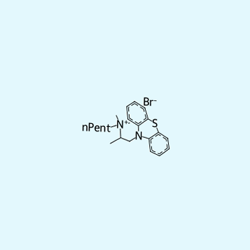 CCCCC[N+](C)(C)C(C)CN1c2ccccc2Sc2ccccc21.[Br-]